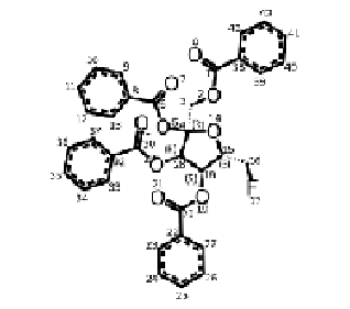 O=C(OC[C@]1(OC(=O)c2ccccc2)O[C@H](CF)[C@@H](OC(=O)c2ccccc2)[C@H]1OC(=O)c1ccccc1)c1ccccc1